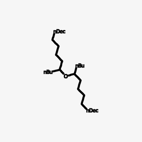 CCCCCCCCCCCCCCC(CCCC)OC(CCCC)CCCCCCCCCCCCCC